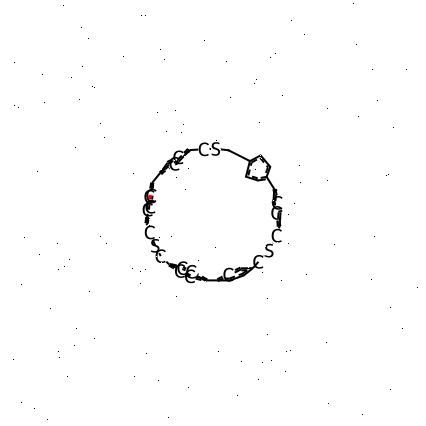 c1cc2ccc1CSCc1ccc(cc1)-c1ccc(cc1)CSCc1ccc(cc1)-c1ccc(cc1)CSCc1ccc-2cc1